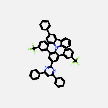 FC(F)(F)c1cccc(-c2cc(-c3nc(-c4ccccc4)cc(-c4ccccc4)n3)cc(-c3cccc(C(F)(F)F)c3)c2-n2c3ccccc3c3cc(-c4ccccc4)ccc32)c1